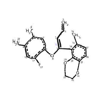 C=C/C=C(/Oc1cc(C)c(N)cc1F)c1c(C)ccc2c1OCCO2